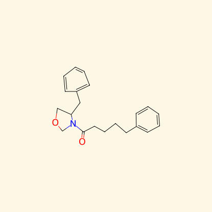 O=C(CCCCc1ccccc1)N1COCC1Cc1ccccc1